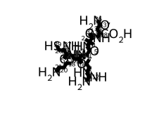 CC(C)(NC(=O)[C@H](CCCNC(=N)N)NC(=O)[C@H](CCCCN)NC(=O)[C@@H](N)CS)C(=O)N[C@@H](CC(N)=O)C(=O)O